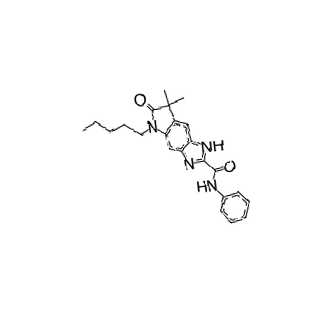 CCCCCN1C(=O)C(C)(C)c2cc3[nH]c(C(=O)Nc4ccccc4)nc3cc21